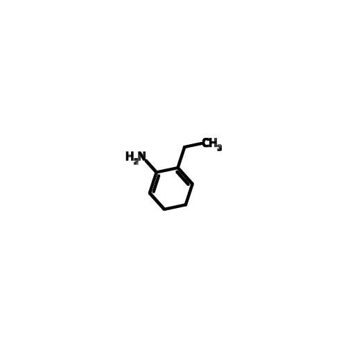 CCC1=CCCC=C1N